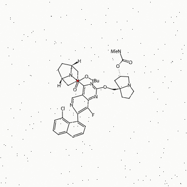 CNC(=O)O[C@@H]1CN2CCC[C@]2(COc2nc(N3C[C@H]4CC[C@@H](C3)N4C(=O)OC(C)(C)C)c3cnc(-c4cccc5cccc(Cl)c45)c(F)c3n2)C1